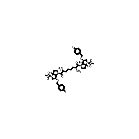 CS(=O)(=O)N1C[C@H](OCc2ccc(F)cc2)C2[C@H]1CCN2C(=O)C(N)CCCC[C@H](N)C(=O)N1CC[C@@H]2[C@H]1[C@@H](OCc1ccc(F)cc1)CN2S(C)(=O)=O